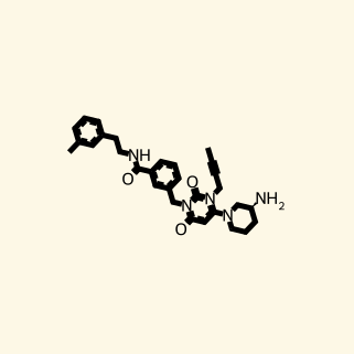 CC#CCn1c(N2CCC[C@@H](N)C2)cc(=O)n(Cc2cccc(C(=O)NCCc3cccc(C)c3)c2)c1=O